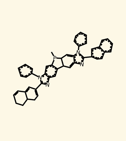 CP1c2cc3c(cc2C2C=c4nc(-c5ccc6ccccc6c5)n(-c5ccccc5)c4=CC21)nc(C1=CCC2CCC=CC2=C1)n3-c1ccccc1